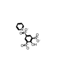 O=[N+]([O-])c1cc([N+](=O)[O-])c(O)c([N+](=O)[O-])c1.c1ccncc1